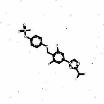 O=S(=O)(F)Oc1ccc(OCc2c(F)cc(-n3cnc(C(F)F)n3)cc2F)cc1